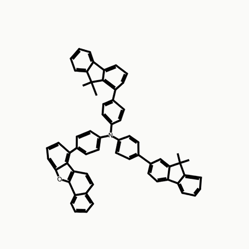 CC1(C)c2ccccc2-c2ccc(-c3ccc(N(c4ccc(-c5cccc6c5C(C)(C)c5ccccc5-6)cc4)c4ccc(-c5cccc6oc7c8ccccc8ccc7c56)cc4)cc3)cc21